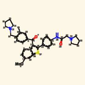 COc1ccc2c(C(=O)c3ccc(CN4CCCC4)c(C)c3)c(-c3ccc(NC(=O)CN4CCCC4)cc3)sc2c1